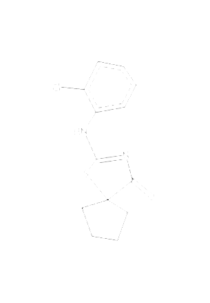 O=C1N=C(Nc2ccccc2Cl)SC12CCCC2